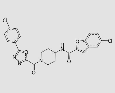 O=C(NC1CCN(C(=O)c2nnc(-c3ccc(Cl)cc3)o2)CC1)c1cc2cc(Cl)ccc2o1